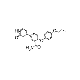 CCCOc1ccc(Oc2ccc(-c3cc[nH]c(=O)c3)cc2C(N)=O)cc1